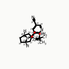 CC(C)(C)OC(=O)N1[C@@H]2CC[C@H]1C[C@](C#N)(c1cncc(C#N)c1)C2